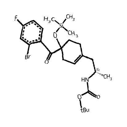 C[C@@H](CC1=CCC(O[Si](C)(C)C)(C(=O)c2ccc(F)cc2Br)CC1)NC(=O)OC(C)(C)C